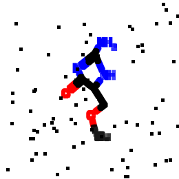 CC(C)(C)OCC1NC(N)=NC1=O